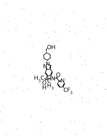 CC(C)(O)c1cc2nn([C@H]3CC[C@H](CO)CC3)cc2cc1NC(=O)c1ccc(C(F)(F)F)cn1